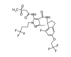 CS(=O)(=O)CC(=O)Nc1c2c(nn1CCCC(F)(F)F)C[C@@]1(CCc3cc(OCC(F)(F)F)cc(F)c31)NC2=O